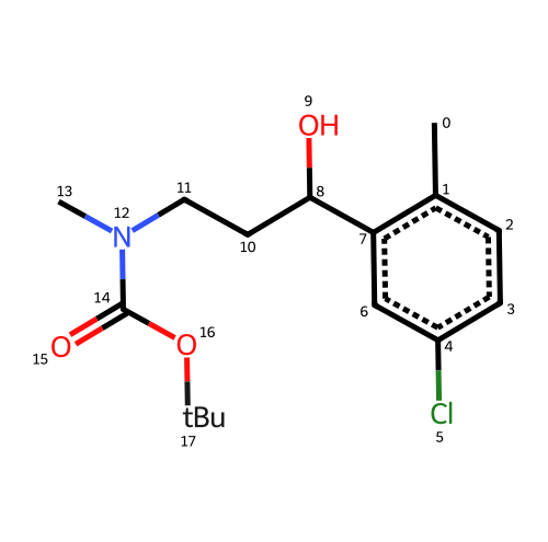 Cc1ccc(Cl)cc1C(O)CCN(C)C(=O)OC(C)(C)C